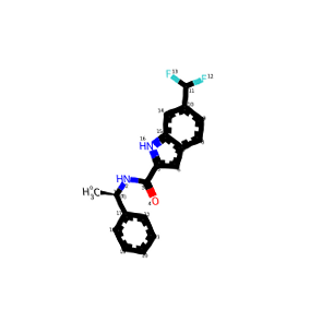 C[C@@H](NC(=O)c1cc2ccc(C(F)F)cc2[nH]1)c1ccccc1